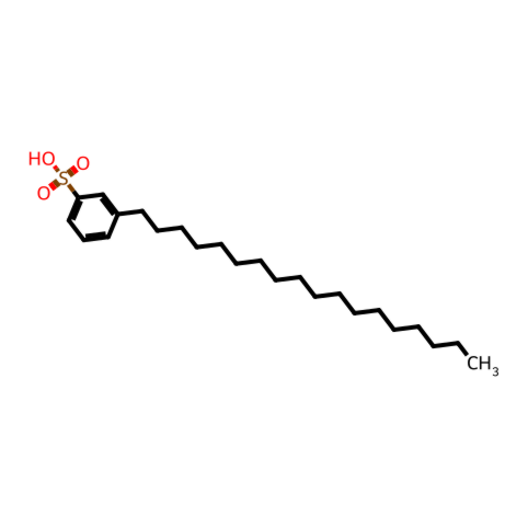 CCCCCCCCCCCCCCCCCCc1cccc(S(=O)(=O)O)c1